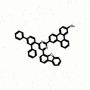 CC(C)(C)c1ccc2c3ccc(-c4nc(-c5ccc(-c6ccccc6)cc5-c5ccccc5)cc(-c5cccc6c5oc5ccccc56)n4)cc3c3ccccc3c2c1